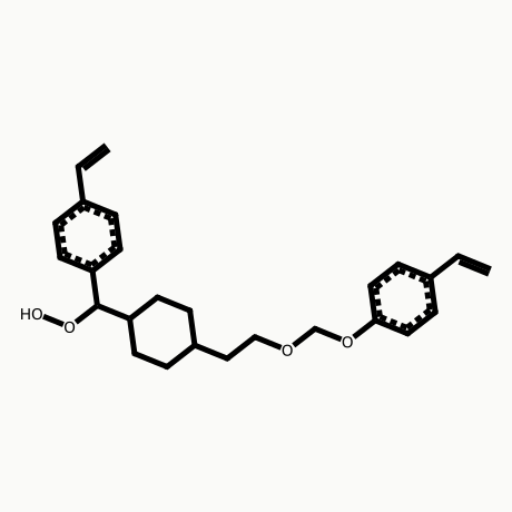 C=Cc1ccc(OCOCCC2CCC(C(OO)c3ccc(C=C)cc3)CC2)cc1